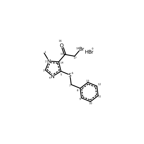 Br.Cn1cnc(SCc2ccccc2)c1C(=O)CBr